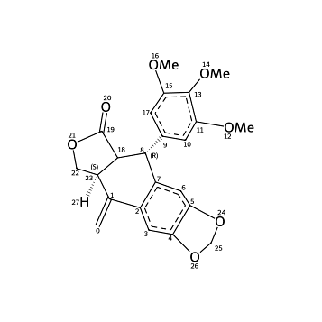 C=C1c2cc3c(cc2[C@@H](c2cc(OC)c(OC)c(OC)c2)C2C(=O)OC[C@H]12)OCO3